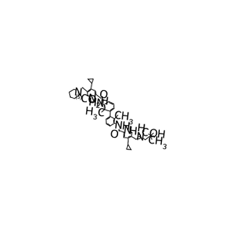 Cc1c(NC(=O)c2cc(C3CC3)c(CNCC(C)(C)O)cn2)cccc1-c1cccc(NC(=O)c2cc(C3CC3)c(CN3CCCC[C@H]3C(=O)O)cn2)c1C